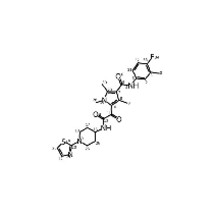 Cc1cc(NC(=O)c2c(C)c(C(=O)C(=O)NC3CCN(c4nccs4)CC3)n(C)c2C)ccc1F